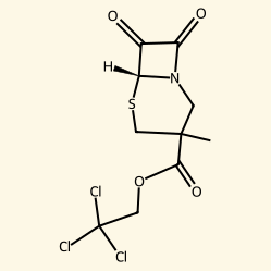 CC1(C(=O)OCC(Cl)(Cl)Cl)CS[C@@H]2C(=O)C(=O)N2C1